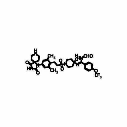 Cc1cc(N2C(=O)NC(=O)C23CCNCC3)cc(C)c1CCS(=O)(=O)N1CCC(C)(/N=C(\NC=O)c2ccc(OC(F)(F)F)cc2)CC1